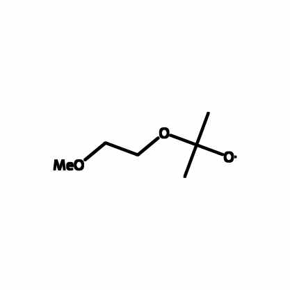 COCCOC(C)(C)[O]